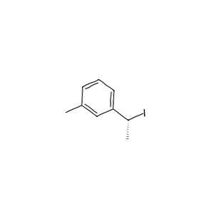 Cc1cccc([C@@H](C)I)c1